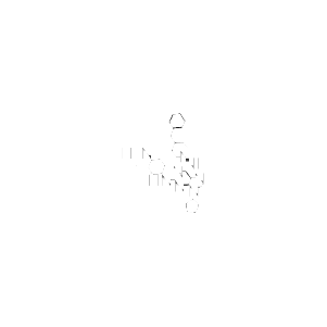 NC1CCC(Nc2nc(NN3CCC(Cc4ccccc4)CC3)c3ncn(C4CCCC4)c3n2)CC1